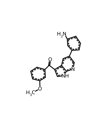 COc1cccc(C(=O)c2c[nH]c3ncc(-c4cccc(N)c4)cc23)c1